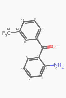 Nc1ccccc1C(=O)c1cccc(C(F)(F)F)c1